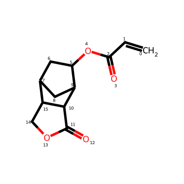 C=CC(=O)OC1CC2CC1C1C(=O)OCC21